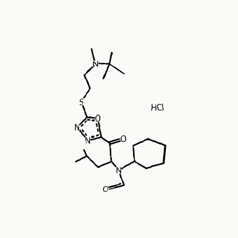 CC(C)CC(C(=O)c1nnc(SCCN(C)C(C)(C)C)o1)N(C=O)C1CCCCC1.Cl